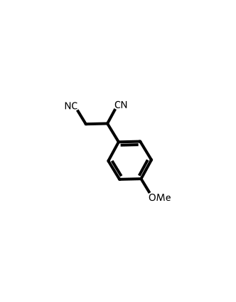 COc1ccc(C(C#N)CC#N)cc1